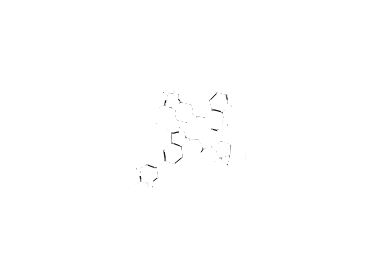 CC(=O)c1nn(CC(=O)N2[C@H](C(=O)Nc3nc(Br)ccc3CN3CCn4c(nnc4C(F)(F)F)C3)C[C@@]3(C)C[C@@H]23)c2ccc(-c3cnc(C)nc3)cc12